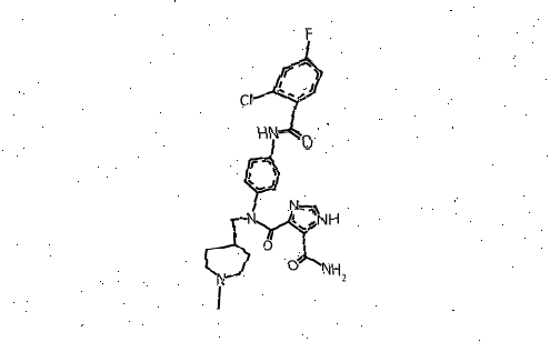 CN1CCC(CN(C(=O)c2nc[nH]c2C(N)=O)c2ccc(NC(=O)c3ccc(F)cc3Cl)cc2)CC1